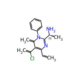 C=CC1=C(C(=C)Cl)C(=C)N(c2ccccc2)C([C@H](C)N)=N1